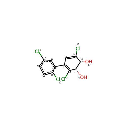 O[C@@H]1C(Cl)=C(c2cc(Cl)ccc2Cl)C=C(Cl)[C@@H]1O